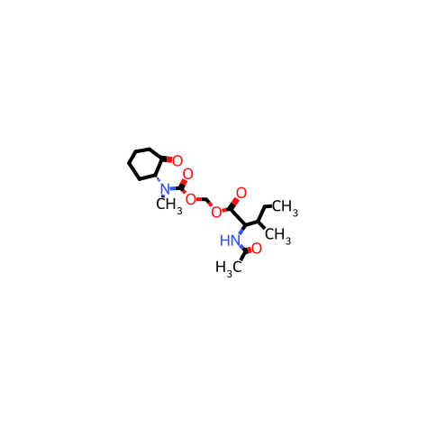 CCC(C)C(NC(C)=O)C(=O)OCOC(=O)N(C)[C@@H]1CCCCC1=O